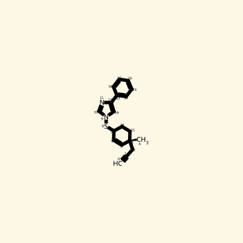 C#CC[C@]1(C)C=CC(Sn2cnc(-c3ccccc3)c2)CC1